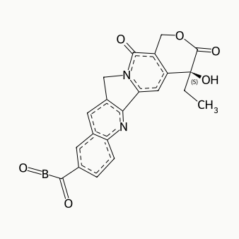 CC[C@@]1(O)C(=O)OCc2c1cc1n(c2=O)Cc2cc3cc(C(=O)B=O)ccc3nc2-1